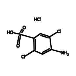 Cl.Nc1cc(Cl)c(S(=O)(=O)O)cc1Cl